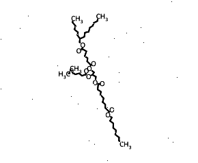 CCCCCCCCCOC(=O)CCCCCCCC(=O)OCC(COC(=O)CCCCC(=O)OCC(CCCCCC)CCCCCCCC)OC(=O)CCCN(C)C